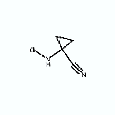 N#CC1(NCl)CC1